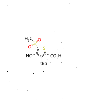 CC(C)(C)c1c(C(=O)O)sc(S(C)(=O)=O)c1C#N